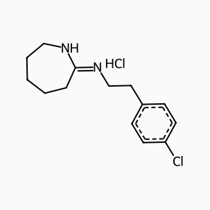 Cl.Clc1ccc(CCN=C2CCCCCN2)cc1